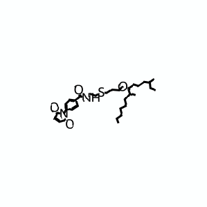 CCCCCCC(C)C(CCCC(C)CC)OCCCSCCNC(=O)c1ccc(N2C(=O)C=CC2=O)cc1